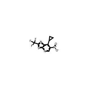 O=[N+]([O-])c1cnc2sc(C(F)(F)F)nc2c1C1CC1